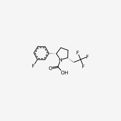 O=C(O)N1[C@@H](CC(F)(F)F)CC[C@H]1c1cccc(F)c1